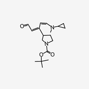 CN(/C=C\C(=C/C=O)C1CCN(C(=O)OC(C)(C)C)C1)C1CC1